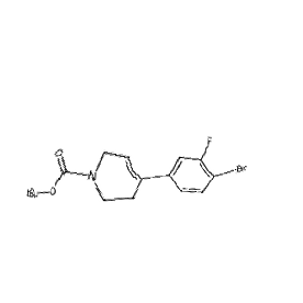 CC(C)(C)OC(=O)N1CC=C(c2ccc(Br)c(F)c2)CC1